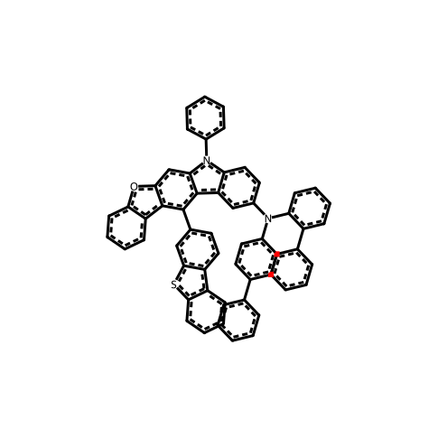 c1ccc(-c2ccc(N(c3ccc4c(c3)c3c(-c5ccc6c(c5)sc5ccccc56)c5c(cc3n4-c3ccccc3)oc3ccccc35)c3ccccc3-c3ccccc3)cc2)cc1